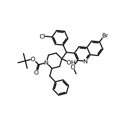 COc1nc2ccc(Br)cc2cc1C(c1cccc(Cl)c1)C1(O)CCN(C(=O)OC(C)(C)C)C(Cc2ccccc2)C1